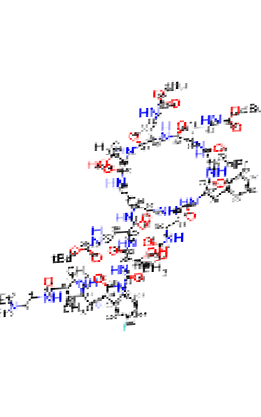 CCN(CC)CCNC(=O)c1c(C)[nH]c(/C=C2\C(=O)N(C(=O)N[C@H](C(=O)N[C@@H](CCNC(=O)OC(C)(C)C)C(=O)N[C@H]3CCNC(=O)[C@H]([C@@H](C)O)NC(=O)[C@H](CCNC(=O)OC(C)(C)C)NC(=O)[C@H](CCNC(=O)OC(C)(C)C)NC(=O)[C@H](CC(C)C)NC(=O)[C@@H](Cc4ccccc4)NC(=O)[C@H](CCNC(=O)OC(C)(C)C)NC3=O)[C@H](C)O)c3ccc(F)cc32)c1C